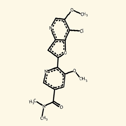 COc1cc(C(=O)N(C)C)cnc1-c1cc2ncc(OC)c(Cl)c2o1